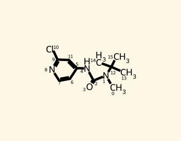 CN(C(=O)Nc1ccnc(Cl)c1)C(C)(C)C